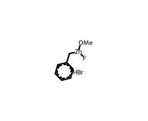 Br.C[O][Zn]([F])[CH2]c1ccccc1